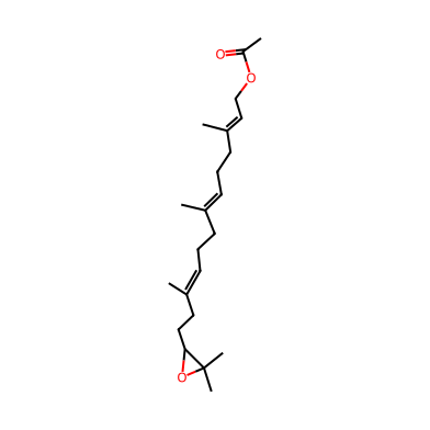 CC(=O)OC/C=C(\C)CC/C=C(\C)CC/C=C(\C)CCC1OC1(C)C